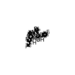 CC(C)(C)Cc1cnc2c(c1)[C@@H](NC[C@@H](O)[C@H](Cc1ccc(F)cc1)Nc1ncnc3sccc13)CC1(CCC1)O2